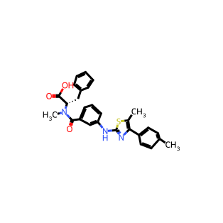 Cc1ccc(-c2nc(Nc3cccc(C(=O)N(C)[C@@H](Cc4ccccc4)C(=O)O)c3)sc2C)cc1